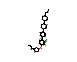 CCCC1CCC(C2CCC(c3ccc(-c4ccc(OC5CCC(CCC)C5)c(F)c4F)cc3)CC2)CC1